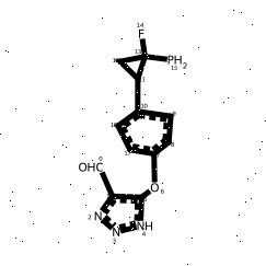 O=Cc1nn[nH]c1Oc1ccc(C2CC2(F)P)cc1